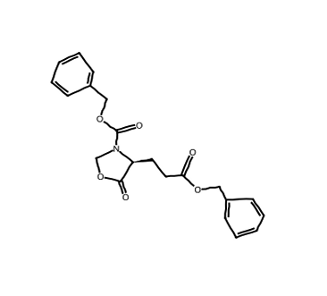 O=C(CC[C@H]1C(=O)OCN1C(=O)OCc1ccccc1)OCc1ccccc1